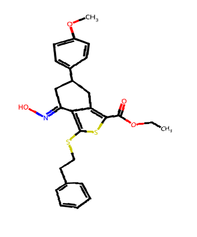 CCOC(=O)c1sc(SCCc2ccccc2)c2c1CC(c1ccc(OC)cc1)C/C2=N\O